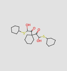 O=C(C(O)SC1CCCCC1)C1(C(=O)C(O)SC2CCCCC2)CCCCC1